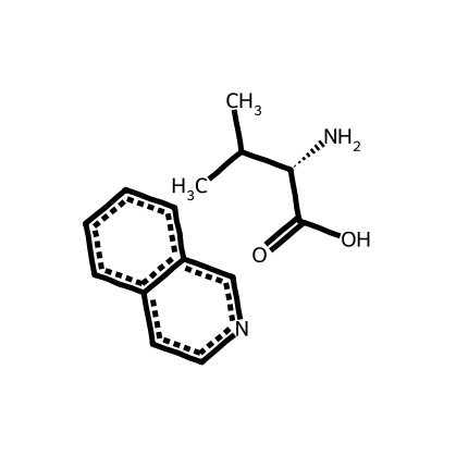 CC(C)[C@H](N)C(=O)O.c1ccc2cnccc2c1